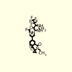 CCN(C(=O)c1cc(-c2cnn(/C(NC)=C(\OC(F)F)C(=N)C(F)(F)C(F)(F)F)c2)ccc1Cl)C1(C#N)CC1